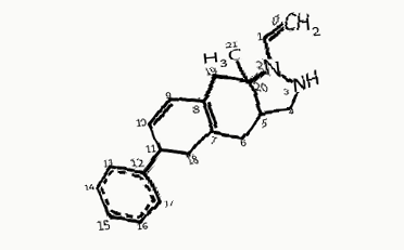 C=CN1NCC2CC3=C(C=CC(c4ccccc4)C3)CC21C